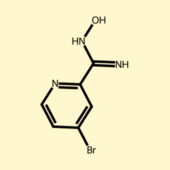 N=C(NO)c1cc(Br)ccn1